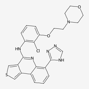 Clc1c(Nc2nc3c(-c4nnc[nH]4)cccc3c3cscc23)cccc1OCCN1CCOCC1